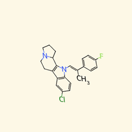 C/C(=C\n1c2c(c3cc(Cl)ccc31)CCN1CCCC21)c1ccc(F)cc1